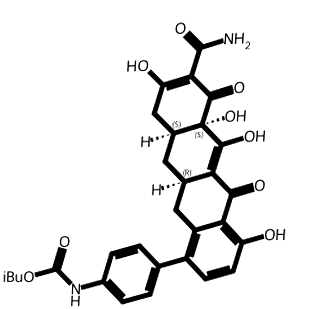 CC(C)COC(=O)Nc1ccc(-c2ccc(O)c3c2C[C@H]2C[C@H]4CC(O)=C(C(N)=O)C(=O)[C@@]4(O)C(O)=C2C3=O)cc1